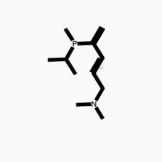 C=C(/C=C/CN(C)C)P(C)C(C)C